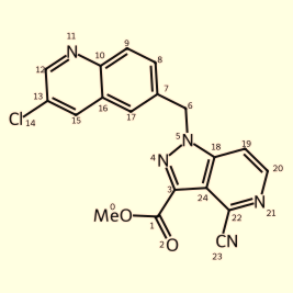 COC(=O)c1nn(Cc2ccc3ncc(Cl)cc3c2)c2ccnc(C#N)c12